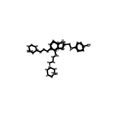 Clc1ccc(OCc2nc3c(OCCC[C@H]4CCCNC4)c(CCCC4CCCNC4)ccc3[nH]2)cc1